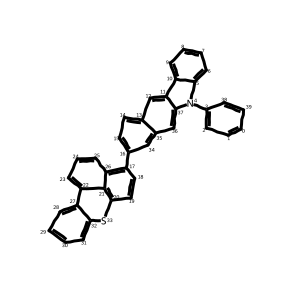 c1ccc(-n2c3ccccc3c3cc4ccc(-c5ccc6c7c(cccc57)-c5ccccc5S6)cc4cc32)cc1